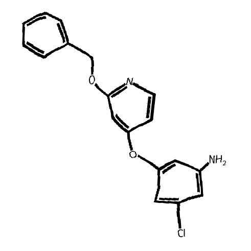 Nc1cc(Cl)cc(Oc2ccnc(OCc3ccccc3)c2)c1